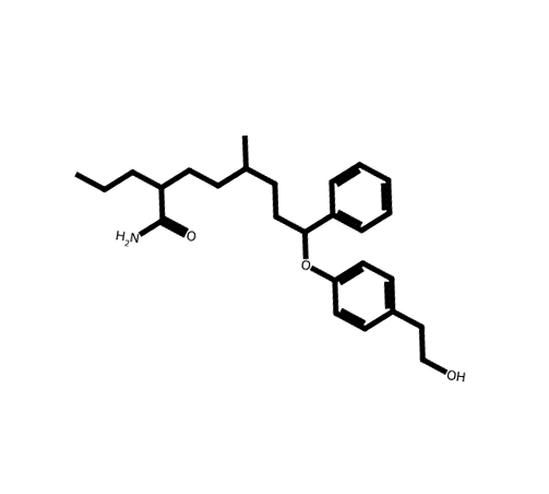 CCCC(CCC(C)CCC(Oc1ccc(CCO)cc1)c1ccccc1)C(N)=O